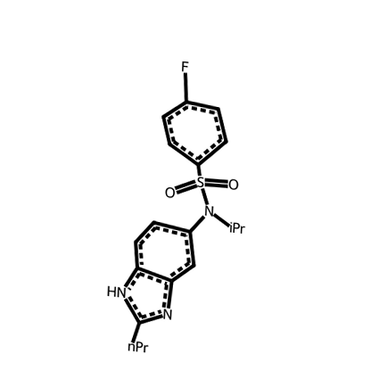 CCCc1nc2cc(N(C(C)C)S(=O)(=O)c3ccc(F)cc3)ccc2[nH]1